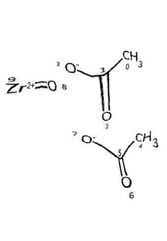 CC(=O)[O-].CC(=O)[O-].[O]=[Zr+2]